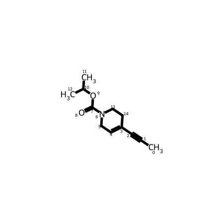 CC#CC1=CCN(C(=O)OC(C)C)CC1